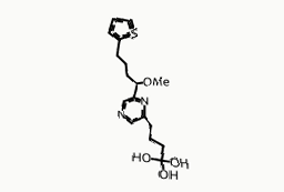 COC(CCCc1cccs1)c1cncc(CCCC(O)(O)O)n1